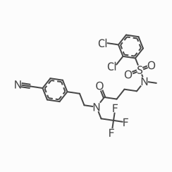 CN(CCCC(=O)N(CCc1ccc(C#N)cc1)CC(F)(F)F)S(=O)(=O)c1cccc(Cl)c1Cl